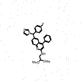 COC(CNc1cc(-c2ccccc2)c2cc(C(c3ccc(F)cc3)n3ccnc3)ccc2n1)OC